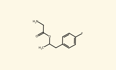 CC(Cc1ccc(F)cc1)OC(=O)CN